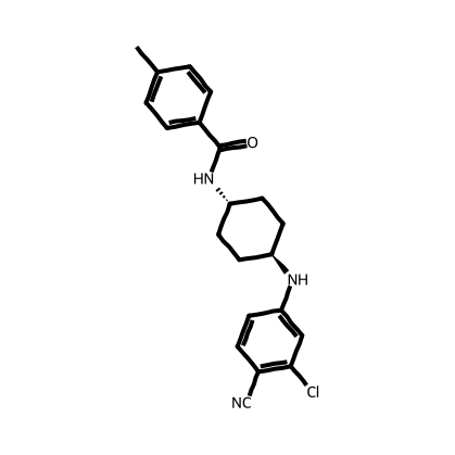 Cc1ccc(C(=O)N[C@H]2CC[C@H](Nc3ccc(C#N)c(Cl)c3)CC2)cc1